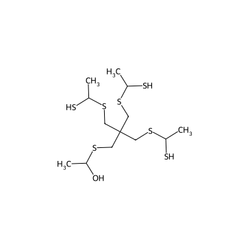 CC(O)SCC(CSC(C)S)(CSC(C)S)CSC(C)S